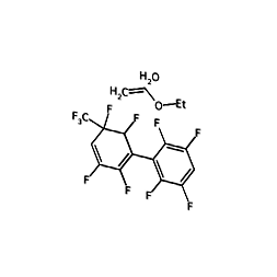 C=COCC.FC1=CC(F)(C(F)(F)F)C(F)C(c2c(F)c(F)cc(F)c2F)=C1F.O